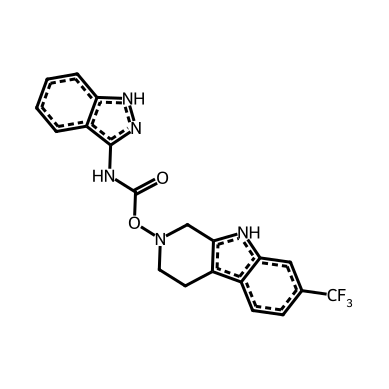 O=C(Nc1n[nH]c2ccccc12)ON1CCc2c([nH]c3cc(C(F)(F)F)ccc23)C1